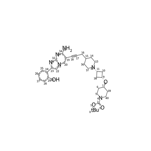 CC(C)(C)OC(=O)N1CCC(O[C@H]2C[C@@H](N3CCC(CC#Cc4cn5cc(-c6ccccc6O)nc5nc4N)CC3)C2)CC1